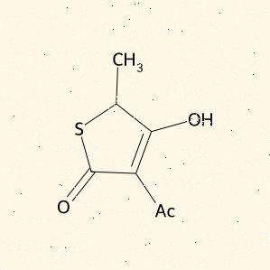 CC(=O)C1=C(O)C(C)SC1=O